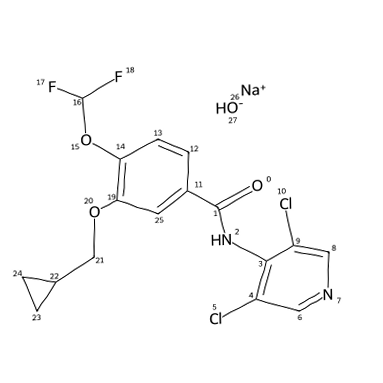 O=C(Nc1c(Cl)cncc1Cl)c1ccc(OC(F)F)c(OCC2CC2)c1.[Na+].[OH-]